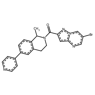 CC1c2ccc(-c3ccncc3)cc2CCN1C(=O)c1cc2ncc(Br)cn2n1